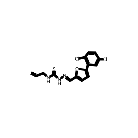 C=CCNC(=S)NN=Cc1ccc(-c2cc(Cl)ccc2Cl)o1